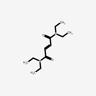 CCN(CC)C(=O)/C=C/C(=O)N(CC)CC